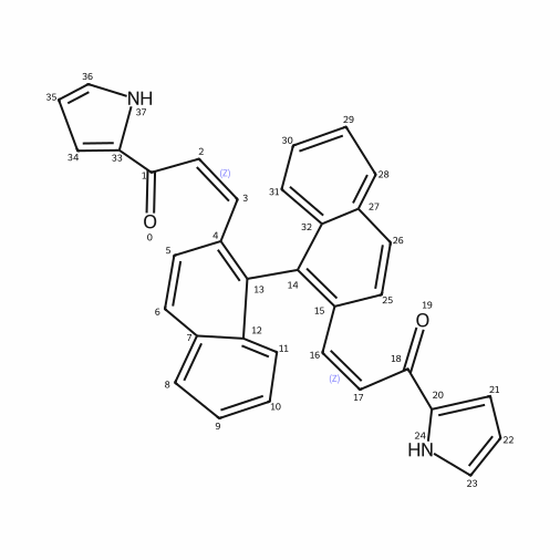 O=C(/C=C\c1ccc2ccccc2c1-c1c(/C=C\C(=O)c2ccc[nH]2)ccc2ccccc12)c1ccc[nH]1